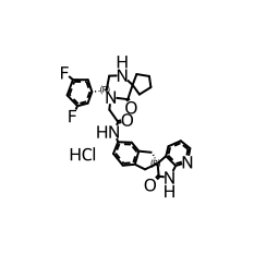 Cl.O=C(CN1C(=O)C2(CCCC2)NC[C@H]1c1cc(F)cc(F)c1)Nc1ccc2c(c1)C[C@@]1(C2)C(=O)Nc2ncccc21